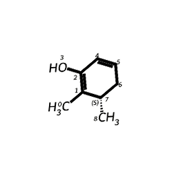 CC1=C(O)C=CC[C@@H]1C